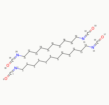 O=C=NCCCCCCCCCCCCN=C=O.O=C=NCCCCCCCCCCN=C=O